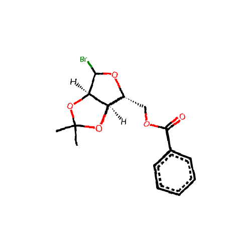 CC1(C)O[C@@H]2[C@@H](COC(=O)c3ccccc3)OC(Br)[C@@H]2O1